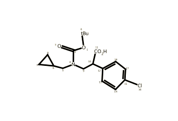 CC(C)(C)OC(=O)N(CC1CC1)CC(C(=O)O)c1ccc(Cl)cc1